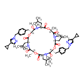 CC(C)C[C@H]1C(=O)O[C@H](Cc2ccc(Cn3cc(C4CC4)cn3)cc2)C(=O)N(C)[C@@H](CC(C)C)C(=O)O[C@H](C)C(=O)N(C)[C@@H](CC(C)C)C(=O)O[C@H](Cc2ccc(Cn3cc(C4CC4)cn3)cc2)C(=O)N(C)[C@@H](CC(C)C)C(=O)O[C@H](C)C(=O)N1C